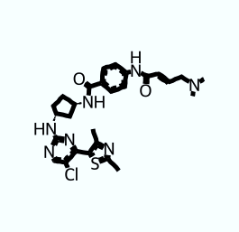 Cc1nc(C)c(-c2nc(N[C@@H]3CC[C@H](NC(=O)c4ccc(NC(=O)/C=C/CN(C)C)cc4)C3)ncc2Cl)s1